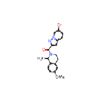 COc1ccc2c(c1)CCN(C(=O)c1cc3ccc(Br)cn3n1)C2C